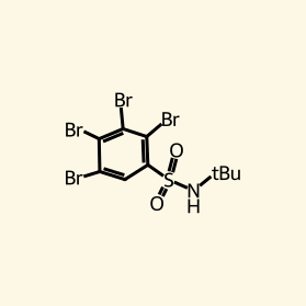 CC(C)(C)NS(=O)(=O)c1cc(Br)c(Br)c(Br)c1Br